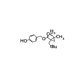 CC(C)(C)CC1(C(=O)OCc2ccc(O)cc2)CC1(C)C